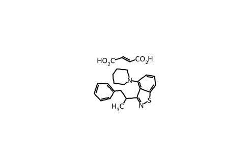 CC(Cc1ccccc1)c1nsc2cccc(N3CCCCC3)c12.O=C(O)C=CC(=O)O